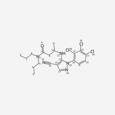 CCCN(CCC)C(=O)CC(C)Nc1c(C#N)cnn1-c1ccc(Cl)c(Cl)c1Cl